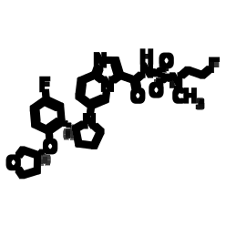 CN(CCF)S(=O)(=O)NC(=O)c1cnc2ccc(N3CCC[C@@H]3c3cc(F)ccc3O[C@@H]3CCOC3)cn12